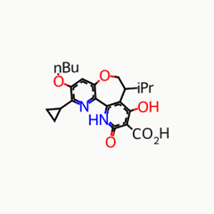 CCCCOc1cc2c(nc1C1CC1)-c1[nH]c(=O)c(C(=O)O)c(O)c1C(C(C)C)CO2